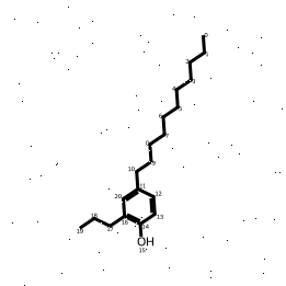 CCCCCCCCCCCc1ccc(O)c(CCC)c1